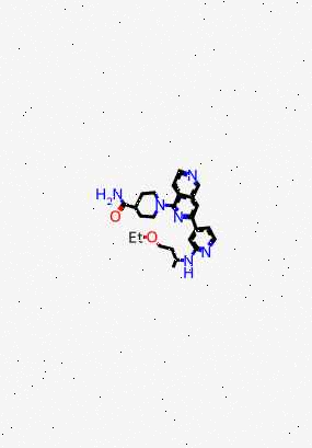 CCOCCC(C)Nc1cc(-c2cc3cnccc3c(N3CCC(C(N)=O)CC3)n2)ccn1